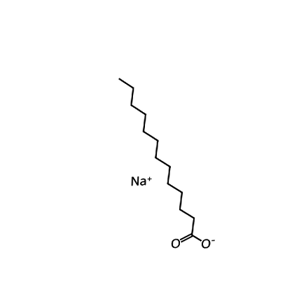 CCCCCCCCCCCCC(=O)[O-].[Na+]